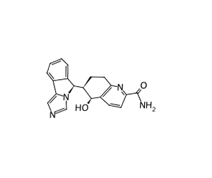 NC(=O)c1ccc2c(n1)CC[C@H]([C@@H]1c3ccccc3-c3cncn31)[C@@H]2O